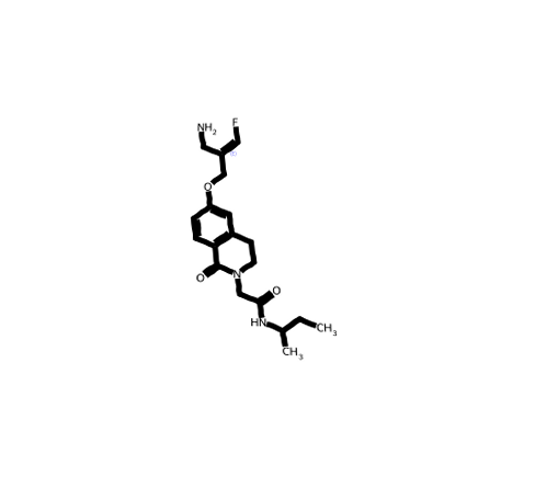 CCC(C)NC(=O)CN1CCc2cc(OC/C(=C/F)CN)ccc2C1=O